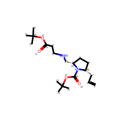 C=CC[C@H]1CC[C@@H](CNCCC(=O)OC(C)(C)C)N1C(=O)OC(C)(C)C